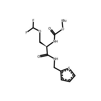 CC(C)(C)OC(=O)N[C@H](COC(F)F)C(=O)NCc1cccs1